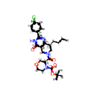 CCCC[C@H]1CN(C(=O)[C@@H]2COCCN2C(=O)OC(C)(C)C)Cc2c1nc(-c1ccc(Cl)cc1)[nH]c2=O